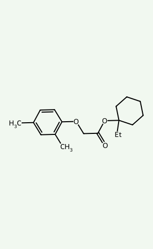 CCC1(OC(=O)COc2ccc(C)cc2C)CCCCC1